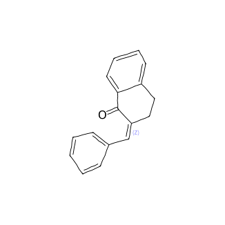 O=C1/C(=C\c2ccccc2)CCc2ccccc21